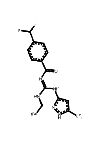 CC(C)(C)CN/C(=N/C(=O)c1ccc(C(F)F)cc1)Nc1cc(C(F)(F)F)[nH]n1